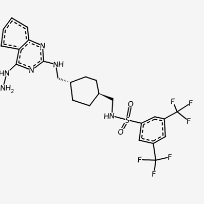 NNc1nc(NC[C@H]2CC[C@H](CNS(=O)(=O)c3cc(C(F)(F)F)cc(C(F)(F)F)c3)CC2)nc2ccccc12